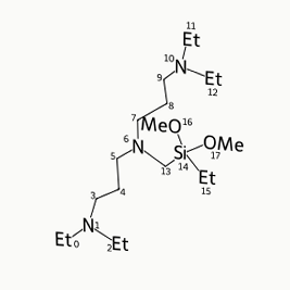 CCN(CC)CCCN(CCCN(CC)CC)C[Si](CC)(OC)OC